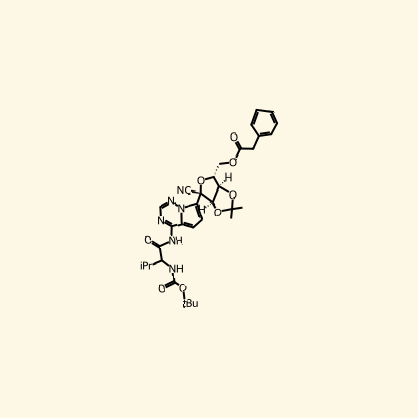 CC(C)C(NC(=O)OC(C)(C)C)C(=O)Nc1ncnn2c([C@]3(C#N)O[C@H](COC(=O)Cc4ccccc4)[C@H]4OC(C)(C)O[C@H]43)ccc12